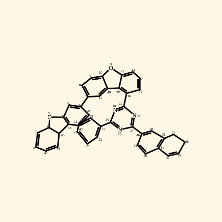 C1=CC2Oc3cc(-c4ccc5oc6cccc(-c7nc(-c8ccccc8)nc(-c8ccc9c(c8)CCC=C9)n7)c6c5c4)ccc3C2C=C1